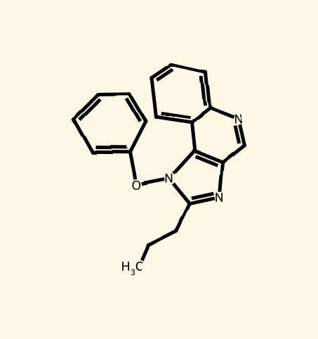 CCCc1nc2cnc3ccccc3c2n1Oc1ccccc1